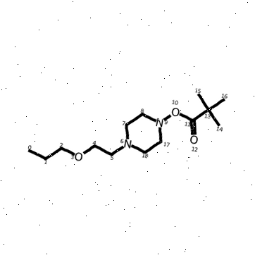 CCCOCCN1CCN(OC(=O)C(C)(C)C)CC1